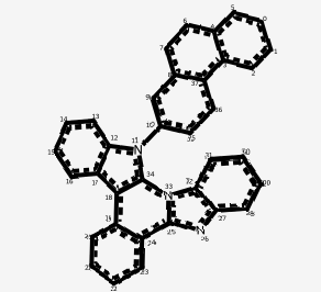 c1ccc2c(c1)ccc1cc(-n3c4ccccc4c4c5ccccc5c5nc6ccccc6n5c43)ccc12